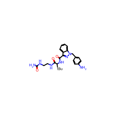 CC(C)(C)C(NC(=O)c1nn(Cc2ccc(N)cc2)c2ccccc12)C(=O)NCCNC(N)=O